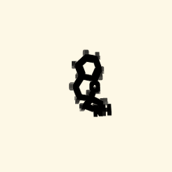 c1ccc2c(c1)CCC1(CNC1)O2